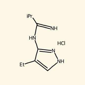 CCc1c[nH]nc1NC(=N)C(C)C.Cl